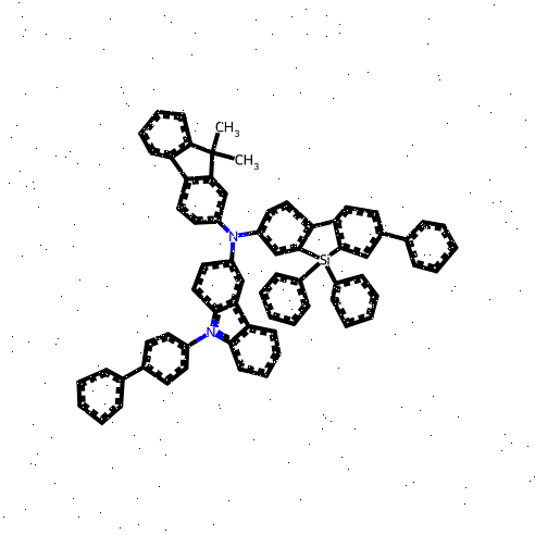 CC1(C)c2ccccc2-c2ccc(N(c3ccc4c(c3)[Si](c3ccccc3)(c3ccccc3)c3cc(-c5ccccc5)ccc3-4)c3ccc4c(c3)c3ccccc3n4-c3ccc(-c4ccccc4)cc3)cc21